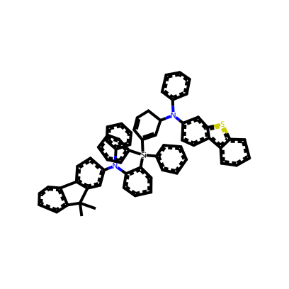 CC1(C)c2ccccc2-c2ccc(N(c3ccccc3)c3ccccc3[Si](C3=CC(N(c4ccccc4)c4ccc5c(c4)sc4ccccc45)CC=C3)(c3ccccc3)c3ccccc3)cc21